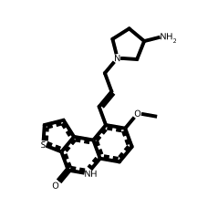 COc1ccc2[nH]c(=O)c3sccc3c2c1C=CCN1CCC(N)C1